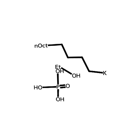 CCCCCCCCCCC[CH2][K].CCO.O=P(O)(O)O